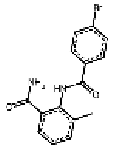 Cc1cccc(C(N)=O)c1NC(=O)c1ccc(Br)cc1